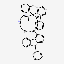 C=C1CC/C(c2cccc3c2c2ccccc2n3-c2ccccc2)=C\SC/C=C\C=C(/C)C12C1=C(CCC=C1)Sc1cccc(-c3ccccc3)c12